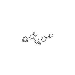 Cn1c(N2CCN[C@@H](c3ccc(N4CCCC4)cc3)C2)nc(-c2ccncn2)cc1=O